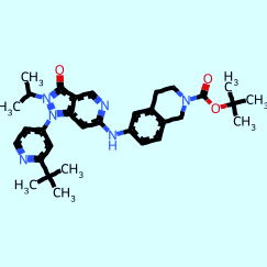 CC(C)n1c(=O)c2cnc(Nc3ccc4c(c3)CCN(C(=O)OC(C)(C)C)C4)cc2n1-c1ccnc(C(C)(C)C)c1